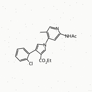 CCOC(=O)c1cn(-c2cc(NC(C)=O)ncc2C)cc1-c1ccccc1Cl